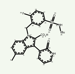 Cc1ccc2c(c1)c(-c1ccc[nH]c1=O)c(C(=O)O)n2Cc1cc(S(=O)(=O)NC(C)(C)C)ccc1F